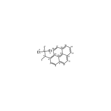 CCC(C)(CC)C(C)c1ccc2ccc3cccc4ccc1c2c34